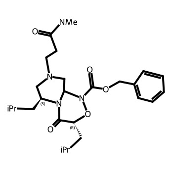 CNC(=O)CCN1CC2N(C(=O)OCc3ccccc3)O[C@H](CC(C)C)C(=O)N2[C@@H](CC(C)C)C1